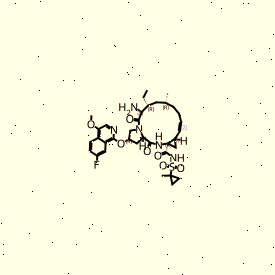 CC[C@@H]1C[C@H](C)CC/C=C\[C@@H]2C[C@@]2(C(=O)NS(=O)(=O)C2(C)CC2)NC(=O)[C@@H]2C[C@@H](Oc3ncc(OC)c4ccc(F)cc34)CN2C(=O)[C@H]1N